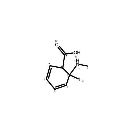 CNC1(I)C=CC=CC1C(=O)O